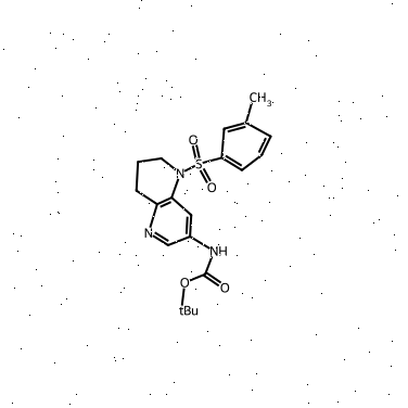 Cc1cccc(S(=O)(=O)N2CCCc3ncc(NC(=O)OC(C)(C)C)cc32)c1